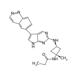 CCC(=O)N[C@]1(C)C[C@@H](Nc2ncc3c(-c4ccc5nnccc5c4)c[nH]c3n2)C1